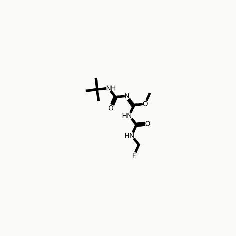 COC(=NC(=O)NC(C)(C)C)NC(=O)NCF